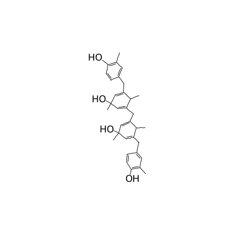 Cc1cc(CC2=CC(C)(O)C=C(CC3=CC(C)(O)C=C(Cc4ccc(O)c(C)c4)C3C)C2C)ccc1O